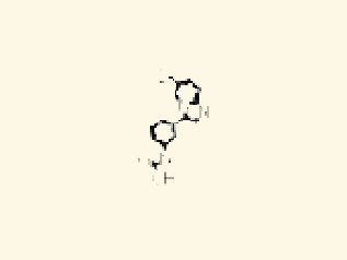 CC(=O)Nc1cccc(-c2cnc3ccc(Cl)cn23)c1